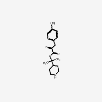 CC(C)(OC(=O)C(=O)Cc1ccc(O)cc1)C1CCNCC1